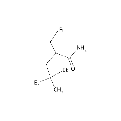 CCC(C)(CC)CC(CC(C)C)C(N)=O